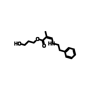 CC(=CNCCc1ccccc1)C(=O)OCCCO